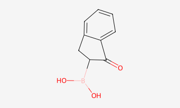 O=C1c2ccccc2CC1B(O)O